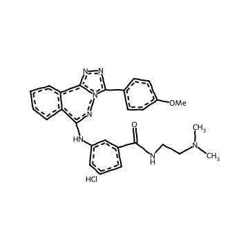 COc1ccc(-c2nnc3c4ccccc4c(Nc4cccc(C(=O)NCCN(C)C)c4)nn23)cc1.Cl